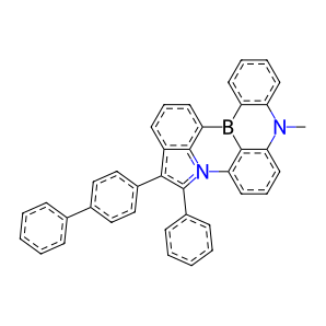 CN1c2ccccc2B2c3c1cccc3-n1c(-c3ccccc3)c(-c3ccc(-c4ccccc4)cc3)c3cccc2c31